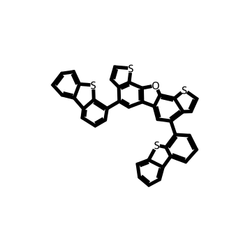 c1ccc2c(c1)sc1c(-c3cc4c5cc(-c6cccc7c6sc6ccccc67)c6ccsc6c5oc4c4sccc34)cccc12